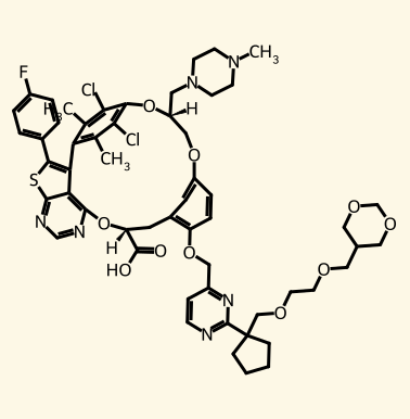 Cc1c(Cl)c2c(Cl)c(C)c1-c1c(-c3ccc(F)cc3)sc3ncnc(c13)O[C@@H](C(=O)O)Cc1cc(ccc1OCc1ccnc(C3(COCCOCC4COCOC4)CCCC3)n1)OC[C@@H](CN1CCN(C)CC1)O2